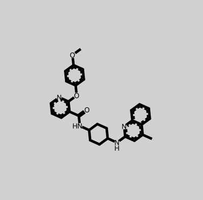 COc1ccc(Oc2ncccc2C(=O)NC2CCC(Nc3cc(C)c4ccccc4n3)CC2)cc1